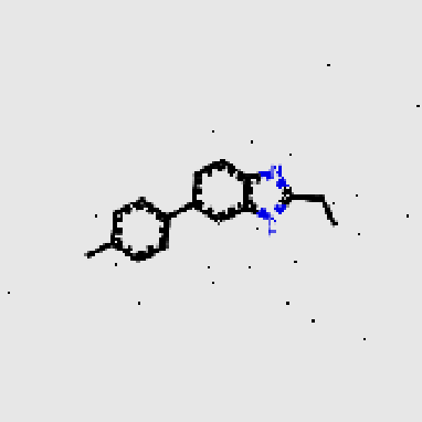 CCc1nc2ccc(-c3ccc(C)cc3)cc2[nH]1